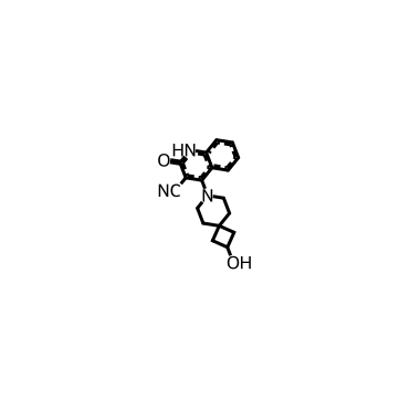 N#Cc1c(N2CCC3(CC2)CC(O)C3)c2ccccc2[nH]c1=O